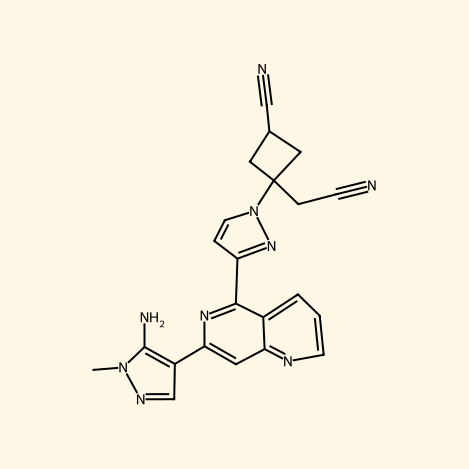 Cn1ncc(-c2cc3ncccc3c(-c3ccn(C4(CC#N)CC(C#N)C4)n3)n2)c1N